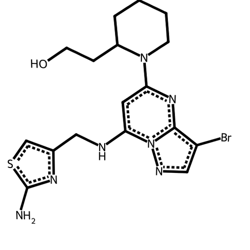 Nc1nc(CNc2cc(N3CCCCC3CCO)nc3c(Br)cnn23)cs1